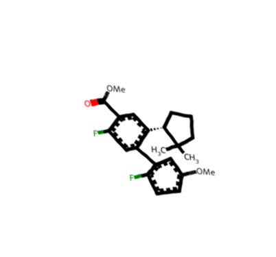 COC(=O)c1cc([C@@H]2CCCC2(C)C)c(-c2cc(OC)ccc2F)cc1F